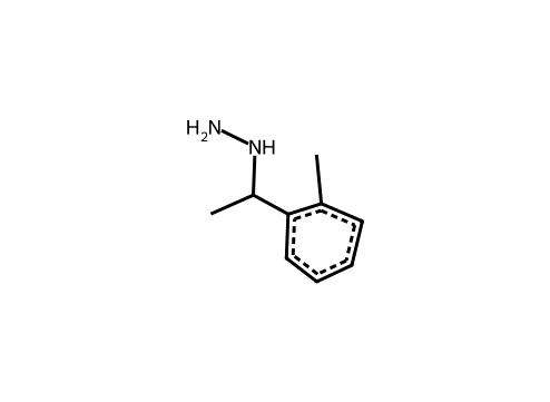 Cc1ccccc1C(C)NN